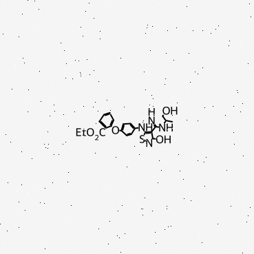 CCOC(=O)c1ccccc1Oc1ccc(Nc2snc(O)c2C(=N)NC(C)CO)cc1